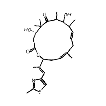 C/C1=C/CC(/C(C)=C/c2csc(C)n2)OC(=O)C[C@H](O)C(C)(C)C(=O)C(C)C(O)C(C)/C=C/C1